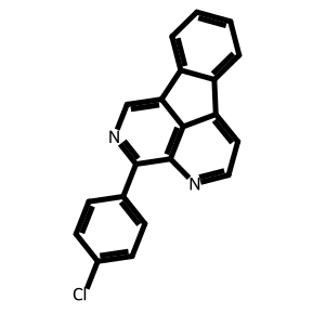 Clc1ccc(-c2ncc3c4c(ccnc24)-c2ccccc2-3)cc1